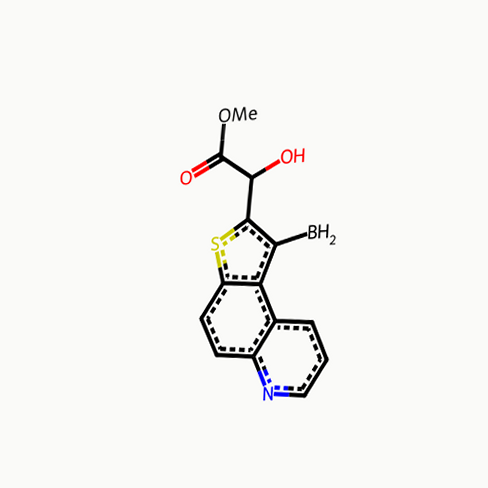 Bc1c(C(O)C(=O)OC)sc2ccc3ncccc3c12